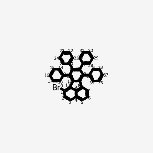 Brc1ccc2cccc3c2c1-c1c(-c2ccccc2)c(-c2ccccc2)c(-c2ccccc2)c(-c2ccccc2)c1-3